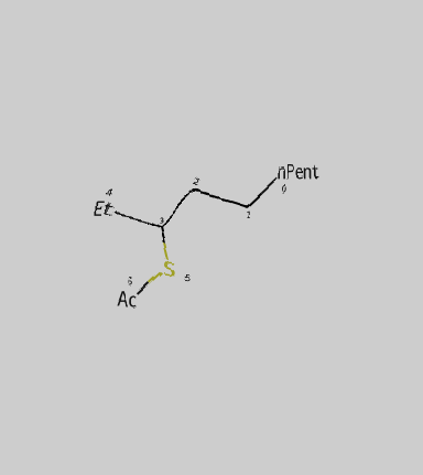 CCCCCCCC(CC)SC(C)=O